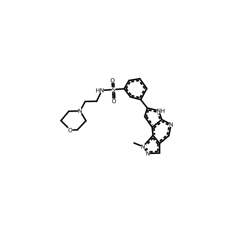 Cn1ncc2cnc3[nH]c(-c4cccc(S(=O)(=O)NCCN5CCOCC5)c4)cc3c21